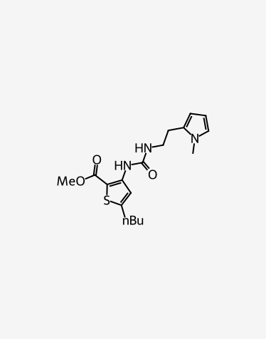 CCCCc1cc(NC(=O)NCCc2cccn2C)c(C(=O)OC)s1